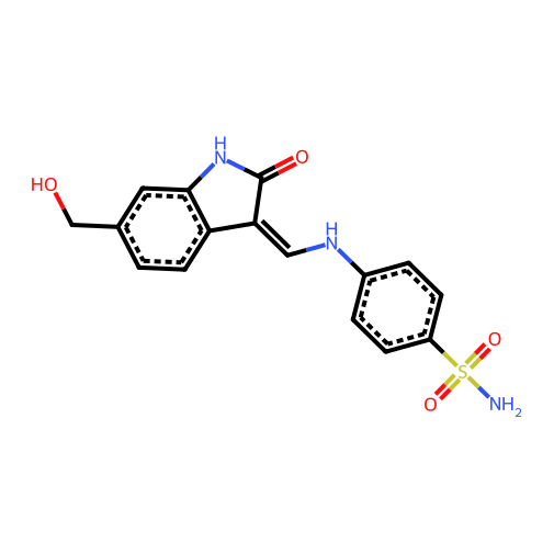 NS(=O)(=O)c1ccc(NC=C2C(=O)Nc3cc(CO)ccc32)cc1